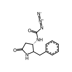 [N-]=[N+]=NC(=O)N[C@H]1CC(=O)NC1Cc1ccccc1